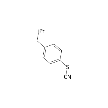 CC(C)Cc1ccc(SC#N)cc1